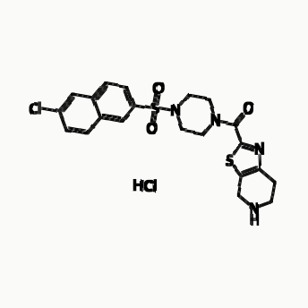 Cl.O=C(c1nc2c(s1)CNCC2)N1CCN(S(=O)(=O)c2ccc3cc(Cl)ccc3c2)CC1